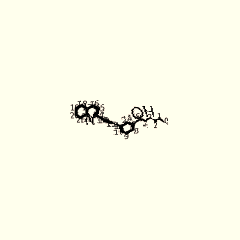 CCCCCC(O)c1cccc(C#Cc2ccc3ccccc3n2)c1